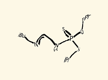 CCCOP(=S)(NC=NC(C)CC)SC(C)C